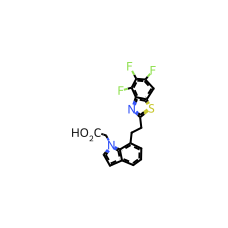 O=C(O)Cn1ccc2cccc(CCc3nc4c(F)c(F)c(F)cc4s3)c21